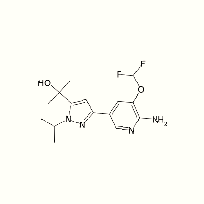 CC(C)n1nc(-c2cnc(N)c(OC(F)F)c2)cc1C(C)(C)O